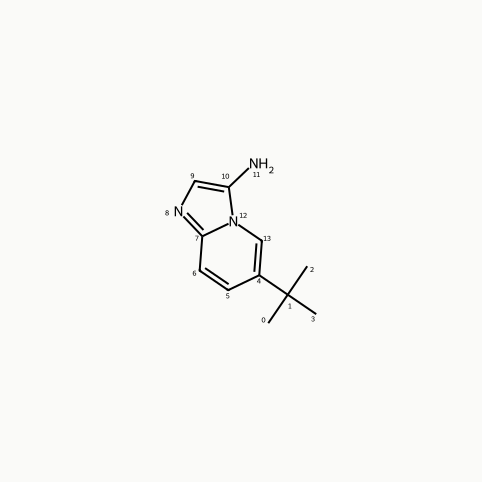 CC(C)(C)c1ccc2ncc(N)n2c1